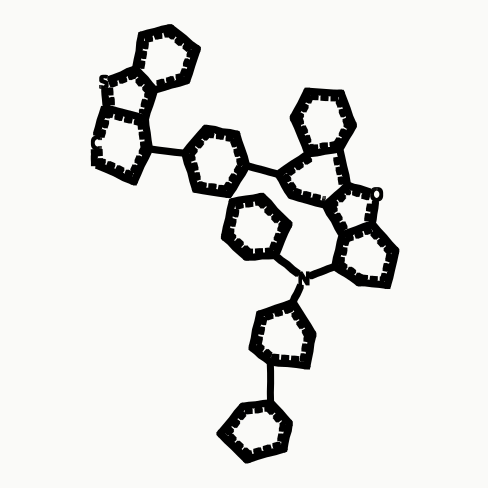 c1ccc(-c2ccc(N(c3ccccc3)c3cccc4oc5c6ccccc6c(-c6ccc(-c7cccc8sc9ccccc9c78)cc6)cc5c34)cc2)cc1